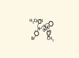 Cn1cnc(S(=O)(=O)N(CCN(Cc2cncn2C)c2ccc(Br)cc2)Cc2ccccc2)c1